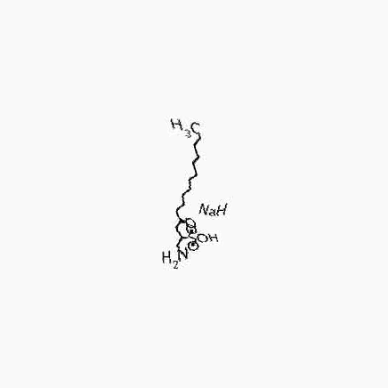 CCCCCCCCCCCC(=O)CC(CN)S(=O)(=O)O.[NaH]